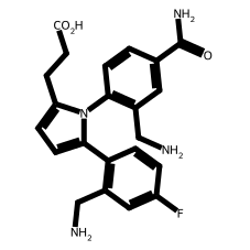 NCc1cc(F)ccc1-c1ccc(CCC(=O)O)n1-c1ccc(C(N)=O)cc1CN